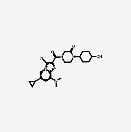 CN(C)c1cc(C2CC2)cn2c(Cl)c(C(=O)N3CCN(C4CCC(O)CC4)C(=O)C3)nc12